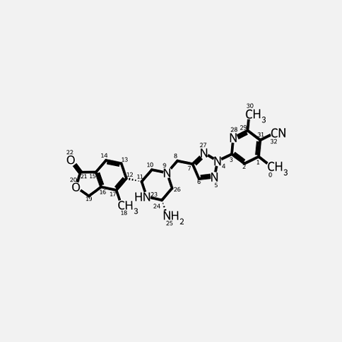 Cc1cc(-n2ncc(CN3C[C@@H](c4ccc5c(c4C)COC5=O)N[C@@H](N)C3)n2)nc(C)c1C#N